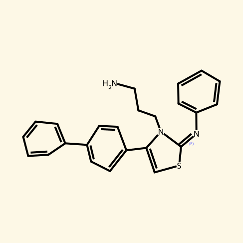 NCCCn1c(-c2ccc(-c3ccccc3)cc2)cs/c1=N/c1ccccc1